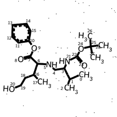 CC(C)C(CNC(C(=O)Oc1ccccc1)C(C)CCO)NC(=O)OC(C)(C)C